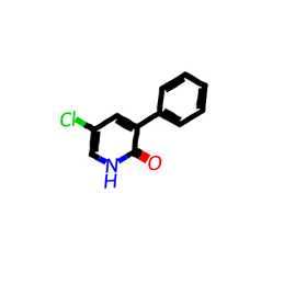 O=c1[nH]cc(Cl)cc1-c1ccccc1